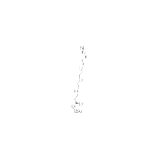 CC(C)(C)OC(=O)CCOCCOCCOCCN=[N+]=[N-]